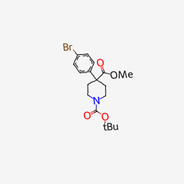 COC(=O)C1(c2ccc(Br)cc2)CCN(C(=O)OC(C)(C)C)CC1